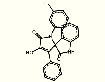 O=C1C(O)=C(c2ccccc2)C2(C(=O)Nc3ccccc32)N1c1cccc(Cl)c1